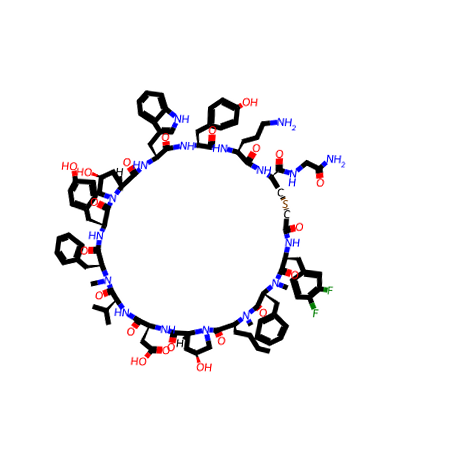 CCCC[C@H]1C(=O)N2C[C@@H](O)C[C@@H]2C(=O)N[C@@H](CC(=O)O)C(=O)N[C@@H](C(C)C)C(=O)N(C)[C@@H](Cc2ccccc2)C(=O)N[C@@H](Cc2ccc(O)cc2)C(=O)N2C[C@@H](O)C[C@@H]2C(=O)N[C@@H](Cc2c[nH]c3ccccc23)C(=O)N[C@@H](Cc2ccc(O)cc2)C(=O)N[C@@H](CCCN)C(=O)N[C@H](C(=O)NCC(N)=O)CSCC(=O)N[C@@H](Cc2ccc(F)c(F)c2)C(=O)N(C)[C@@H](Cc2ccccc2)C(=O)N1C